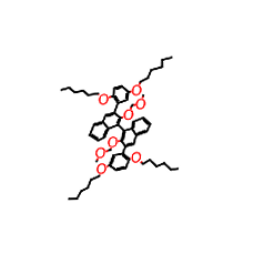 CCCCCCOc1ccc(OCCCCCC)c(-c2cc3ccccc3c(-c3c(OCOC)c(-c4cc(OCCCCCC)ccc4OCCCCCC)cc4ccccc34)c2OCOC)c1